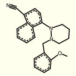 COc1ccccc1CN1CCCCN1c1ccc(C#N)c2ccccc12